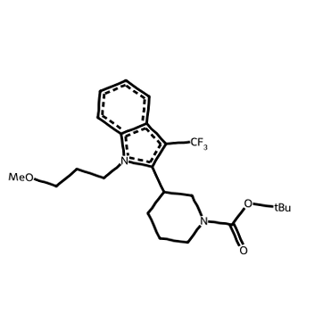 COCCCn1c(C2CCCN(C(=O)OC(C)(C)C)C2)c(C(F)(F)F)c2ccccc21